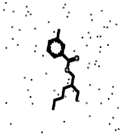 CCCCC(CC)COC(=O)c1cccc(C)c1